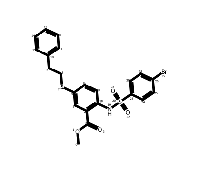 COC(=O)c1cc(SCCc2ccccc2)ccc1NS(=O)(=O)c1ccc(Br)cc1